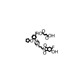 O=C(O)C=CC(=O)O.O=C1C2CC(O)C(F)CC2C(=O)N1CCCN1CCN(c2cc(F)ccc2OC2CCCC2)CC1